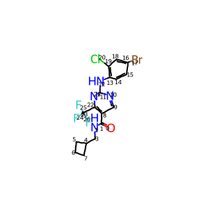 O=C(NCC1CCC1)c1cnc(Nc2ccc(Br)cc2Cl)nc1C(F)(F)F